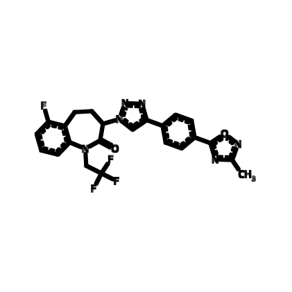 Cc1noc(-c2ccc(-c3cn(C4CCc5c(F)cccc5N(CC(F)(F)F)C4=O)nn3)cc2)n1